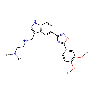 CCOc1ccc(-c2nc(-c3ccc4[nH]cc(CNCCN(CC)CC)c4c3)no2)cc1OCC